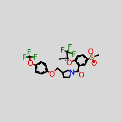 C[C@H](Oc1ccc(S(C)(=O)=O)cc1C(=O)N1CCC(COc2ccc(OC(F)(F)F)cc2)C1)C(F)(F)F